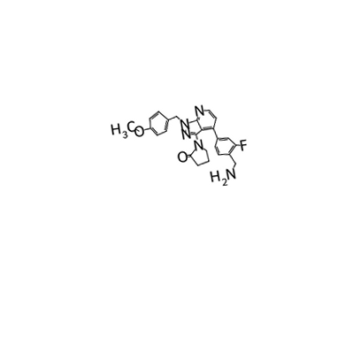 COc1ccc(Cn2nc(N3CCCC3=O)c3c(-c4ccc(CN)c(F)c4)ccnc32)cc1